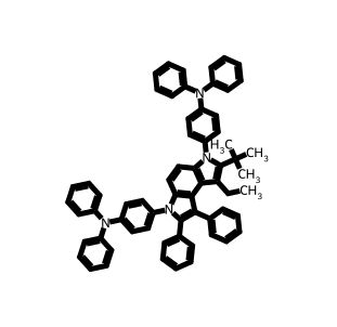 CCc1c(C(C)(C)C)n(-c2ccc(N(c3ccccc3)c3ccccc3)cc2)c2ccc3c(c(-c4ccccc4)c(-c4ccccc4)n3-c3ccc(N(c4ccccc4)c4ccccc4)cc3)c12